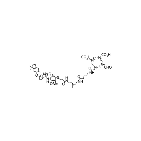 COc1nc(SCCC(=O)NCCN(C)CCNC(=O)CCCCNC(=O)CN2CCN(CC=O)CCN(CC(=O)O)CCN(CC(=O)O)CC2)nc(OC)c1NC(=O)c1ccc(Oc2cc3c(cc2C)CCC3(C)C)o1